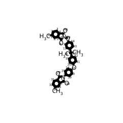 Cc1ccc2c(c1)C(=O)N(Oc1ccc(C(C)(C)c3ccc(Oc4ccc(N5C(=O)c6ccc(C)cc6C5=O)cc4)cc3)cc1)C2=O